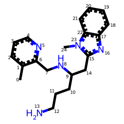 Cc1cccnc1CNC(CCCN)Cc1nc2ccccc2n1C